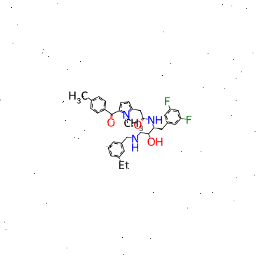 CCc1cccc(CNC[C@H](O)[C@H](Cc2cc(F)cc(F)c2)NC(=O)Cc2ccc(C(=O)c3ccc(C)cc3)n2C)c1